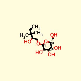 C=CC(C)(C)C(O)CO[C@H]1O[C@H](CO)[C@H](O)[C@H](O)[C@H]1O